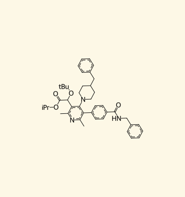 Cc1nc(C)c(C(OC(C)(C)C)C(=O)OC(C)C)c(N2CCC(Cc3ccccc3)CC2)c1-c1ccc(C(=O)NCc2ccccc2)cc1